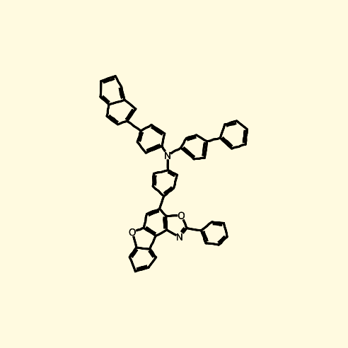 c1ccc(-c2ccc(N(c3ccc(-c4ccc5ccccc5c4)cc3)c3ccc(-c4cc5oc6ccccc6c5c5nc(-c6ccccc6)oc45)cc3)cc2)cc1